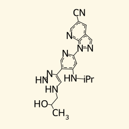 CC(O)CN/C=C(\N=N)c1cnc(-n2ncc3cc(C#N)cnc32)cc1NC(C)C